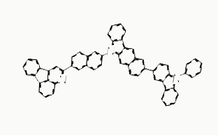 c1ccc(-n2c3ccccc3c3cc(-c4ccc5cc6c(cc5c4)c4ccccc4n6-c4ccc5cc(-c6cc7c8c(cccc8n6)-c6ccccc6-7)ccc5c4)ccc32)cc1